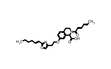 CC=CC=CC(=O)N1CCc2ccc(OCCc3coc(/C=C/CCCC)n3)cc2C1C(=O)O